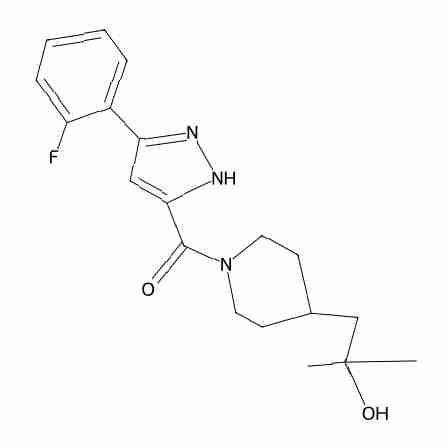 CC(C)(O)CC1CCN(C(=O)c2cc(-c3ccccc3F)n[nH]2)CC1